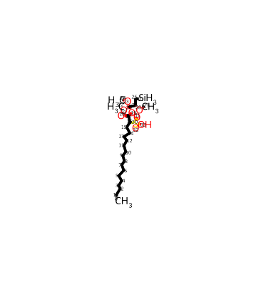 CCCCCCCCCCCCCCCCC(C(=O)OC(OC)(OC)C(C[SiH3])OC)S(=O)(=O)O